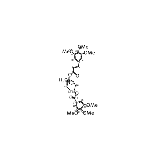 COc1cc(/C=C/C(=O)O[C@H]2CC3C[C@H](OC(=O)c4cc(OC)c(OC)c(OC)c4)CC2N3C)cc(OC)c1OC